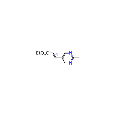 CCOC(=O)/C=C/c1cnc(C)nc1